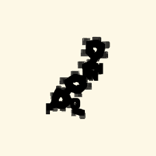 CCOc1cc(F)ccc1-c1ccc(-n2cc(-c3ccccc3)nn2)cc1